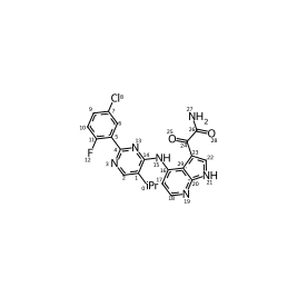 CC(C)c1cnc(-c2cc(Cl)ccc2F)nc1Nc1ccnc2[nH]cc(C(=O)C(N)=O)c12